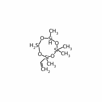 C=C[Si]1(C)O[SiH2]O[SiH](C)O[Si](C)(C)O1